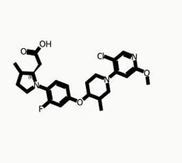 COc1cc(N2CCC(Oc3ccc(N4CCC(C)[C@H]4CC(=O)O)c(F)c3)C(C)C2)c(Cl)cn1